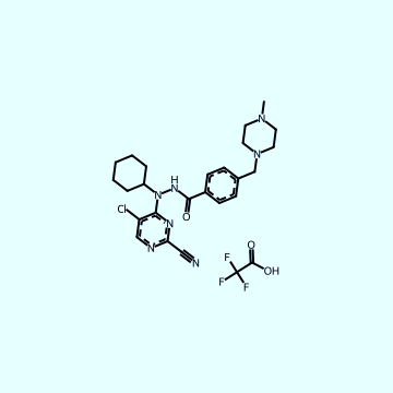 CN1CCN(Cc2ccc(C(=O)NN(c3nc(C#N)ncc3Cl)C3CCCCC3)cc2)CC1.O=C(O)C(F)(F)F